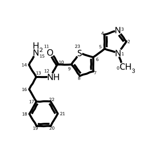 Cn1cncc1-c1ccc(C(=O)NC(CN)Cc2ccccc2)s1